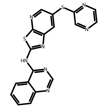 c1ccc2c(Nc3nc4cc(Sc5cnccn5)cnc4s3)ncnc2c1